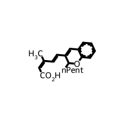 CCCCCC1Oc2ccccc2C=C1/C=C/C(C)=C\C(=O)O